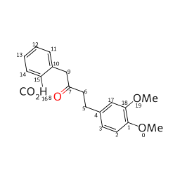 COc1ccc(CCC(=O)Cc2ccccc2C(=O)O)cc1OC